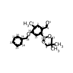 Cc1cc(C=O)c(B2OCC(C)(C)CO2)cc1OCc1ccccc1